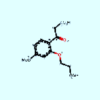 COCCOc1cc(OC)ccc1C(=O)CC(=O)O